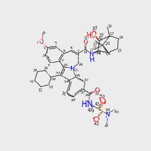 COc1ccc2c(c1)C=C(C(=O)N[C@@H]1C3CCC(C)([C@@H]1O)C3(C)C)Cn1c-2c(C2CCCCC2)c2ccc(C(=O)NS(=O)(=O)N(C)C)cc21